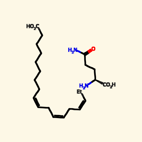 CC/C=C\C/C=C\C/C=C\CCCCCCCC(=O)O.NC(=O)CC[C@H](N)C(=O)O